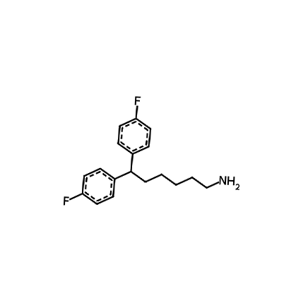 NCCCCCC(c1ccc(F)cc1)c1ccc(F)cc1